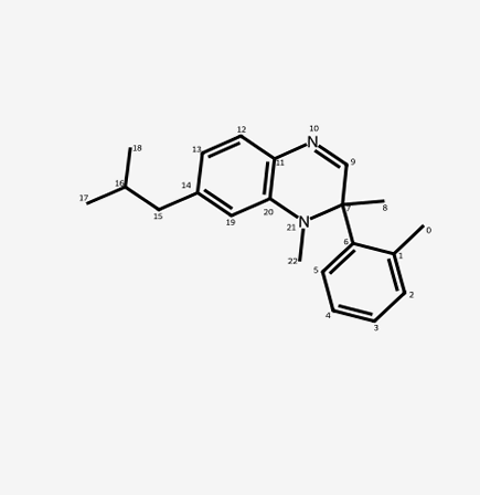 Cc1ccccc1C1(C)C=Nc2ccc(CC(C)C)cc2N1C